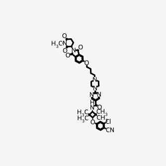 CN1C(=O)CCC(N2C(=O)c3ccc(OCCCCN4CCN(c5ncc(C(=O)N[C@H]6C(C)(C)[C@H](Oc7ccc(C#N)c(Cl)c7)C6(C)C)cn5)CC4)cc3C2=O)C1=O